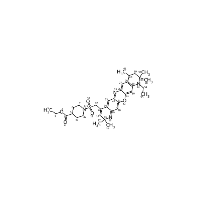 CCOC(=O)C1CCN(S(=O)(=O)CC2=CC(C)(C)N=c3cc4c(cc32)=Nc2cc3c(cc2O4)N(CC)C(C)(C)CC3C)CC1